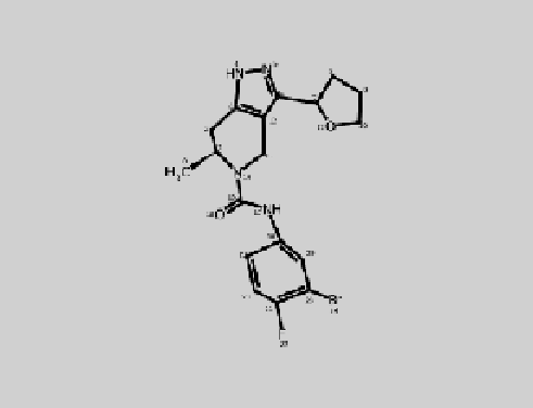 C[C@H]1Cc2[nH]nc(C3CCCO3)c2CN1C(=O)Nc1ccc(F)c(Br)c1